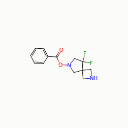 O=C(ON1CC(F)(F)C2(CNC2)C1)c1ccccc1